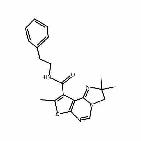 Cc1oc2c(c1C(=O)NCCc1ccccc1)C1=NC(C)(C)CN1C=N2